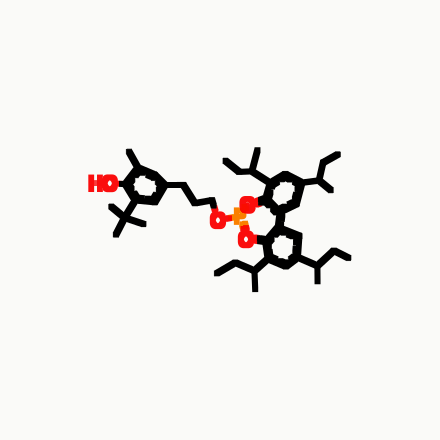 CCC(C)c1cc(C(C)CC)c2op(OCCCc3cc(C)c(O)c(C(C)(C)C)c3)oc3c(C(C)CC)cc(C(C)CC)cc3c2c1